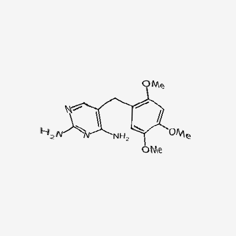 COc1cc(OC)c(OC)cc1Cc1cnc(N)nc1N